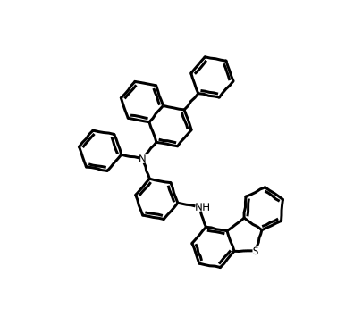 c1ccc(-c2ccc(N(c3ccccc3)c3cccc(Nc4cccc5sc6ccccc6c45)c3)c3ccccc23)cc1